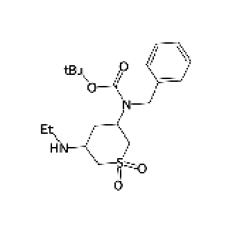 CCNC1CC(N(Cc2ccccc2)C(=O)OC(C)(C)C)CS(=O)(=O)C1